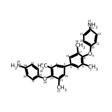 Cc1cc(-c2cc(C)c(Oc3ccc(N)cc3)c(C)c2)cc(C)c1Oc1ccc(N)cc1